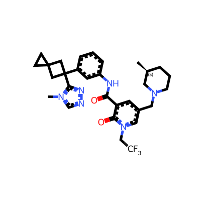 C[C@H]1CCCN(Cc2cc(C(=O)Nc3cccc(C4(c5nncn5C)CC5(CC5)C4)c3)c(=O)n(CC(F)(F)F)c2)C1